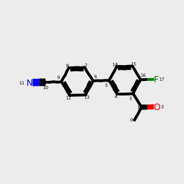 CC(=O)c1cc(-c2ccc(C#N)cc2)ccc1F